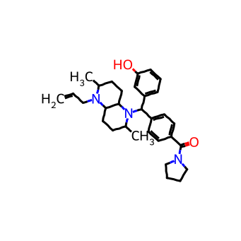 C=CCN1C(C)CCC2C1CCC(C)N2C(c1ccc(C(=O)N2CCCC2)cc1)c1cccc(O)c1